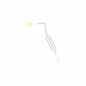 FC#CCS